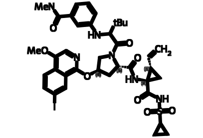 C=C[C@@H]1C[C@]1(NC(=O)[C@@H]1C[C@@H](Oc2ncc(OC)c3ccc(I)cc23)CN1C(=O)C(Nc1cccc(C(=O)NC)c1)C(C)(C)C)C(=O)NS(=O)(=O)C1CC1